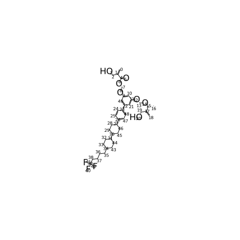 C=C(CO)C(=O)OCOc1cc(OCO[C@H](C)C(=C)CO)cc(-c2ccc(C3CCC(C4CCC(CCCCC(F)(F)F)CC4)CC3)cc2)c1